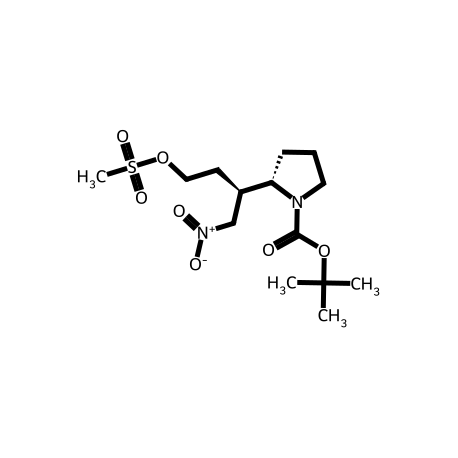 CC(C)(C)OC(=O)N1CCC[C@H]1[C@H](CCOS(C)(=O)=O)C[N+](=O)[O-]